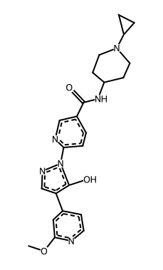 COc1cc(-c2cnn(-c3ccc(C(=O)NC4CCN(C5CC5)CC4)cn3)c2O)ccn1